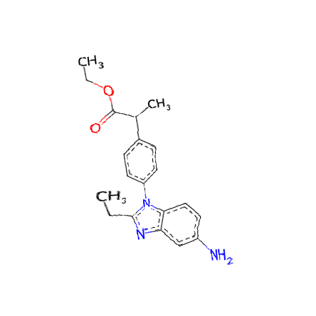 CCOC(=O)C(C)c1ccc(-n2c(CC)nc3cc(N)ccc32)cc1